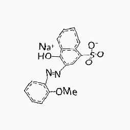 COc1ccccc1N=Nc1cc(S(=O)(=O)[O-])c2ccccc2c1O.[Na+]